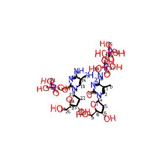 Cc1cn([C@H]2C[C@H](O)[C@@H](CO)O2)c(=O)nc1N.Cc1cn([C@H]2C[C@H](O)[C@@H](CO)O2)c(=O)nc1N.O=P(O)(O)O.O=P(O)(O)O.O=P(O)(O)O